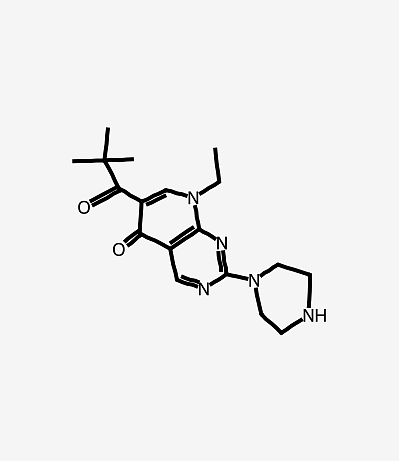 CCn1cc(C(=O)C(C)(C)C)c(=O)c2cnc(N3CCNCC3)nc21